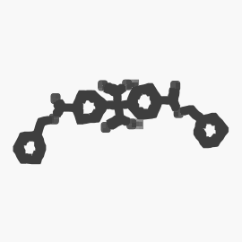 O=C(OCc1ccccc1)c1ccc(C(C(=O)O)(C(=O)O)c2ccc(C(=O)OCc3ccccc3)cc2)cc1